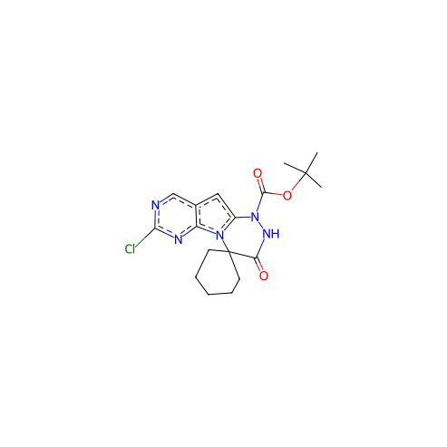 CC(C)(C)OC(=O)N1NC(=O)C2(CCCCC2)n2c1cc1cnc(Cl)nc12